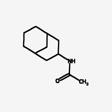 CC(=O)NC1CC2CCCC(C2)C1